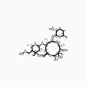 CCOCC1[C@H](C)O[C@@H](O[C@H]2[C@H](C)[C@@H](O[C@@H]3O[C@H](C)CC[C@H]3O)N[C@H](C)[C@@H](O)[C@](C)(O)[C@@H](CC)OC(=O)[C@@H]2C)C[C@@]1(C)OC